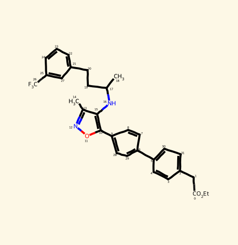 CCOC(=O)Cc1ccc(-c2ccc(-c3onc(C)c3NC(C)CCc3cccc(C(F)(F)F)c3)cc2)cc1